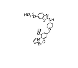 CCOc1cc(CN2CCC(Nc3nc4ccc(OC(=O)O)cc4s3)CC2)cc(OCC)c1-n1cccc1